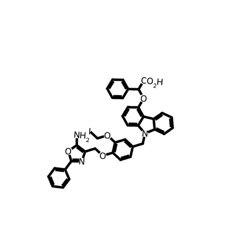 Nc1oc(-c2ccccc2)nc1COc1ccc(Cn2c3ccccc3c3c(OC(C(=O)O)c4ccccc4)cccc32)cc1OCI